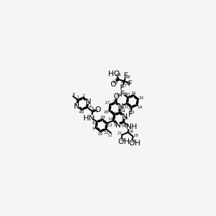 Cc1cnc(C(=O)Nc2ccc(C)c(-c3nc(NC(CO)CO)nc4c3ccc(=O)n4-c3c(F)cccc3F)c2)cn1.O=C(O)C(F)(F)F